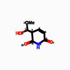 COC(O)C1C=CC(=O)NC1=O